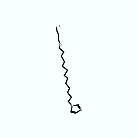 CCCCOCCCCCCCCCCCCCn1ccnc1